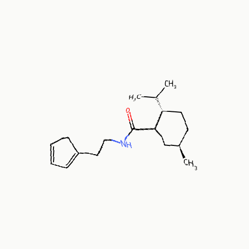 CC(C)[C@@H]1CC[C@@H](C)CC1C(=O)NCCC1=CC=CC1